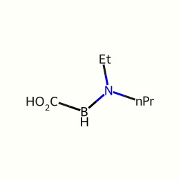 CCCN(BC(=O)O)CC